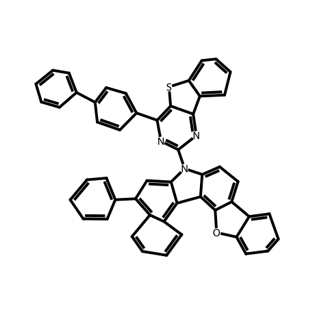 c1ccc(-c2ccc(-c3nc(-n4c5cc(-c6ccccc6)c6ccccc6c5c5c6oc7ccccc7c6ccc54)nc4c3sc3ccccc34)cc2)cc1